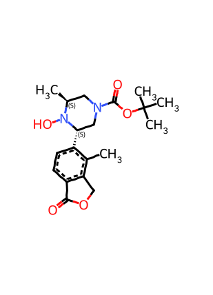 Cc1c([C@H]2CN(C(=O)OC(C)(C)C)C[C@H](C)N2O)ccc2c1COC2=O